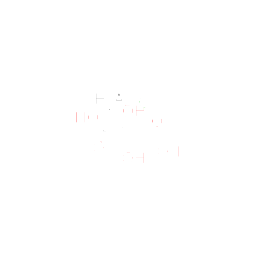 O=C(O)C(O)C(O)C(=O)O.[AlH2][Cl]